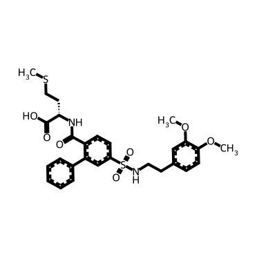 COc1ccc(CCNS(=O)(=O)c2ccc(C(=O)N[C@@H](CCSC)C(=O)O)c(-c3ccccc3)c2)cc1OC